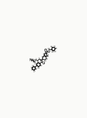 [N-]=[N+]=NCCCN(C(=O)c1ccc(-c2ccccc2)cc1)C1CCc2nn(C(=O)OCc3ccccc3)cc2C1